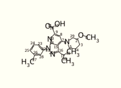 COC1CCCN(c2cc(C(=O)O)nc3c2c(C(C)C)nn3-c2cccc(C)c2)C1